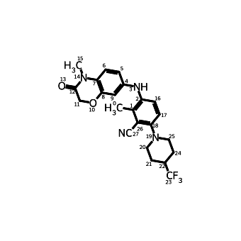 Cc1c(Nc2ccc3c(c2)OCC(=O)N3C)ccc(N2CCC(C(F)(F)F)CC2)c1C#N